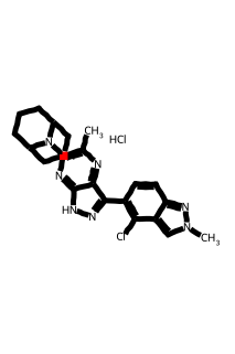 Cc1nc2c(-c3ccc4nn(C)cc4c3Cl)n[nH]c2nc1N1C2CCCC1CNC2.Cl